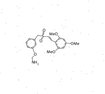 COc1cc(OC)c(/C=C/S(=O)(=O)Cc2cccc(OCN)c2)c(OC)c1